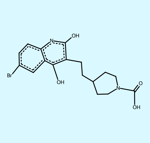 O=C(O)N1CCC(CCc2c(O)nc3ccc(Br)cc3c2O)CC1